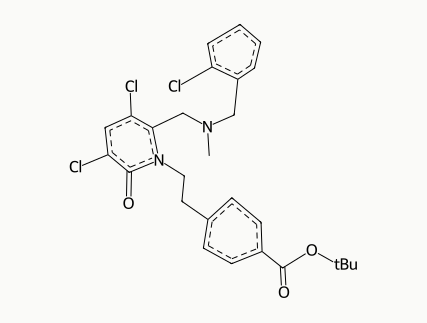 CN(Cc1ccccc1Cl)Cc1c(Cl)cc(Cl)c(=O)n1CCc1ccc(C(=O)OC(C)(C)C)cc1